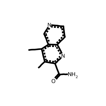 Cc1c(C(N)=O)nc2ccncc2c1C